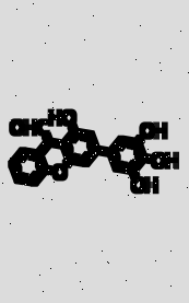 O=CC1c2ccccc2Oc2cc(-c3cc(O)c(O)c(O)c3)cc(O)c21